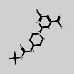 CC(C)(C)OC(=O)NC1CCN(c2cc(C(N)=O)cc(Cl)n2)CC1